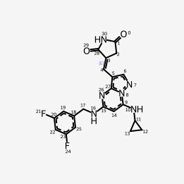 O=C1C/C(=C\c2cnn3c(NC4CC4)cc(NCc4cc(F)cc(F)c4)nc23)C(=O)N1